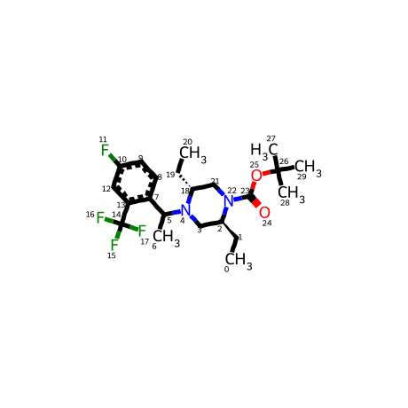 CC[C@H]1CN(C(C)c2ccc(F)cc2C(F)(F)F)[C@H](CC)CN1C(=O)OC(C)(C)C